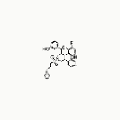 Cc1c(F)cccc1C1C(C(=O)c2cccc(O)c2)CN(S(=O)(=O)CCCN2CCC2)CC1c1cc[c]cc1O